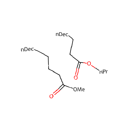 CCCCCCCCCCCCC(=O)OCCC.CCCCCCCCCCCCCC(=O)OC